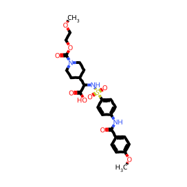 COCCOC(=O)N1CCC(C(NS(=O)(=O)c2ccc(NC(=O)c3ccc(OC)cc3)cc2)C(=O)O)CC1